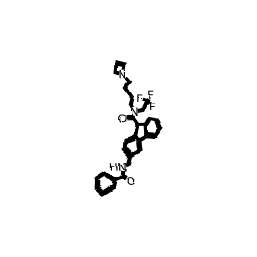 O=C(NCc1ccc2c(c1)-c1ccccc1C2C(=O)N(CCCCN1CCC1)CC(F)(F)F)c1ccccc1